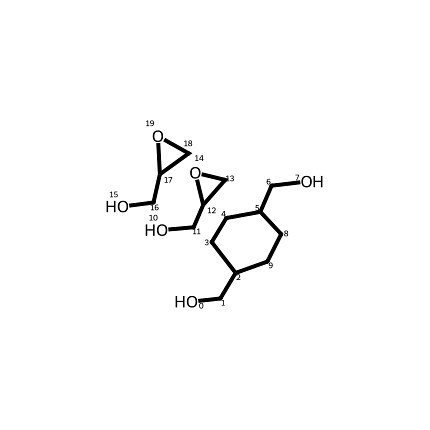 OCC1CCC(CO)CC1.OCC1CO1.OCC1CO1